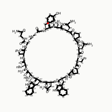 CCCC[C@H]1C(=O)N(C)[C@@H](CCCC)C(=O)NC(CC(C)C)C(=O)N[C@H](C(=O)NCC(N)=O)CNCC(=O)N[C@@H](Cc2ccc(O)cc2)C(=O)N(C)[C@@H](C)C(=O)N[C@@H](CC(N)=O)C(=O)N2CCC[C@H]2C(=O)N[C@@H](CC(N)=O)C(=O)N[C@@H](CC(C)C)C(=O)N2CCC[C@H]2C(=O)N[C@@H](Cc2c[nH]c3ccccc23)C(=O)N[C@@H](CC(N)=O)C(=O)N[C@@H](Cc2c[nH]c3ccccc23)C(=O)N1C